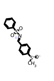 C[S+]([O-])c1ccc(/C=N/S(=O)(=O)c2ccccc2)cc1